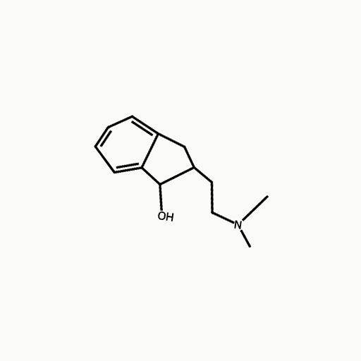 CN(C)CCC1Cc2ccccc2C1O